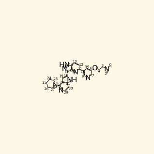 CN(C)CCOc1cncc(-c2ccc3[nH]nc(-c4cc5c(N6CCCCC6)nccc5[nH]4)c3n2)c1